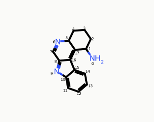 NC1CCCC2N=CC3=Nc4ccccc4C3=C12